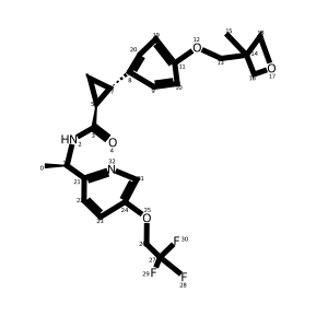 C[C@@H](NC(=O)[C@H]1C[C@@H]1c1ccc(OCC2(C)COC2)cc1)c1ccc(OCC(F)(F)F)cn1